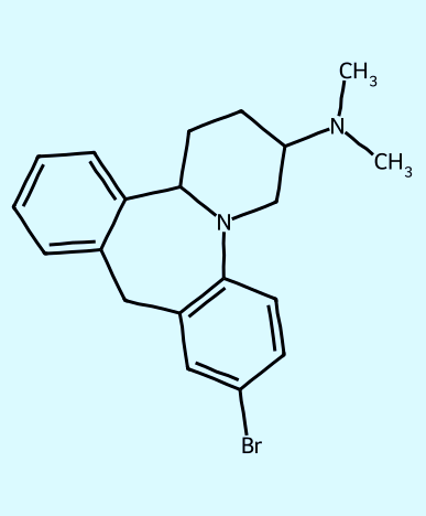 CN(C)C1CCC2c3ccccc3Cc3cc(Br)ccc3N2C1